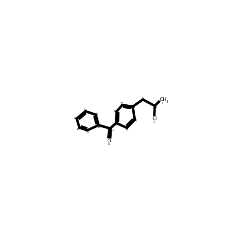 CC(Cl)Cc1ccc(C(=O)c2ccccc2)cc1